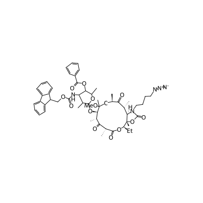 CC[C@H]1OC(=O)[C@H](C)C(=O)[C@H](C)[C@@H](OC2OC(C)C(OC(=O)c3ccccc3)C(NC(=O)OCC3c4ccccc4-c4ccccc43)C2C)[C@@](C)(OC)C[C@@H](C)C(=O)[C@H](C)[C@H]2N(CCCCN=[N+]=[N-])C(=O)O[C@]12C